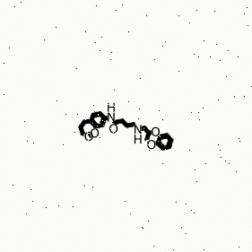 O=C(CCCNCC1COc2ccccc2O1)Nc1ccc2c(c1)OOCCC2